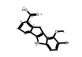 COc1c(Br)ccc2[nH]c3c(c12)Cc1c(C(=O)O)cccc1-3